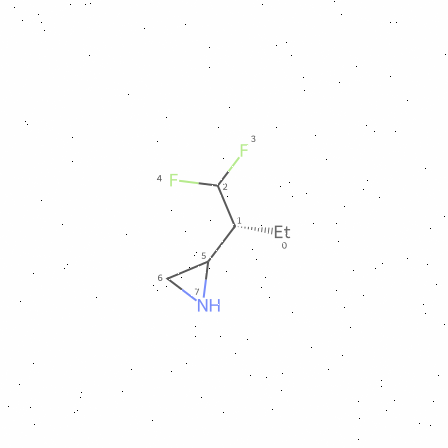 CC[C@@H](C(F)F)C1CN1